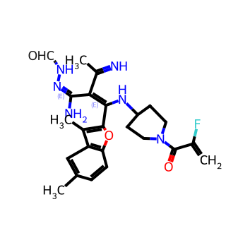 C=C(F)C(=O)N1CCC(N/C(=C(C(C)=N)/C(N)=N\NC=O)c2oc3ccc(C)cc3c2C)CC1